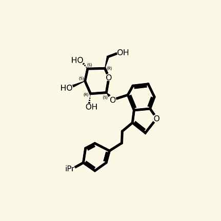 CC(C)c1ccc(CCc2coc3cccc(O[C@@H]4O[C@H](CO)[C@@H](O)[C@H](O)[C@H]4O)c23)cc1